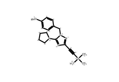 COc1ccc(Cn2nc(C#C[Si](C)(C)C)nc2N2CCCC2)cc1